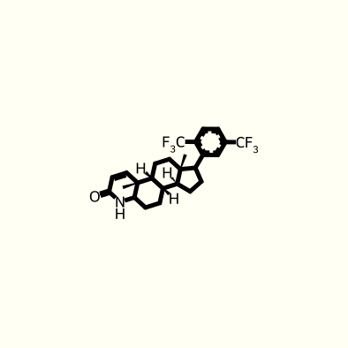 C[C@]12C=CC(=O)NC1CC[C@@H]1[C@H]2CC[C@]2(C)C(c3cc(C(F)(F)F)ccc3C(F)(F)F)CC[C@@H]12